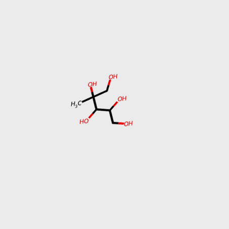 CC(O)(CO)C(O)C(O)CO